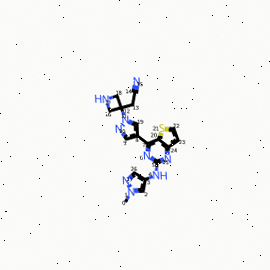 Cn1cc(Nc2nc(-c3cnn(C4(CC#N)CNC4)c3)c3sccc3n2)cn1